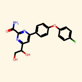 NC(=O)c1nc(-c2ccc(Oc3ccc(F)cc3)cc2)cc(C(O)CO)n1